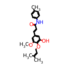 COc1cc(/C=C/C(=O)Nc2ccc(C)cc2)cc(O)c1OCC=C(C)C